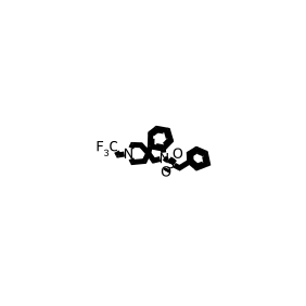 O=S(=O)(Cc1ccccc1)N1CC2(CCN(CC(F)(F)F)CC2)c2ccccc21